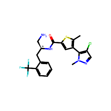 Cc1sc(C(=O)N[C@H](CN)Cc2ccccc2C(F)(F)F)cc1-c1c(Cl)cnn1C